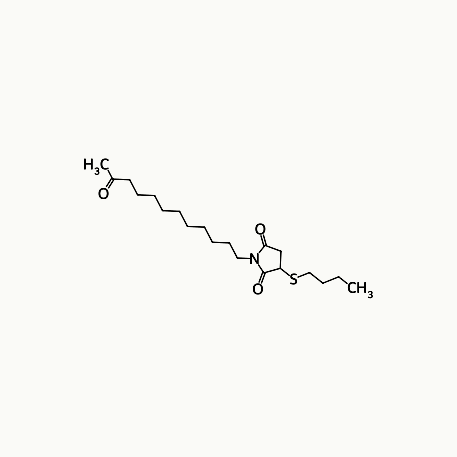 CCCCSC1CC(=O)N(CCCCCCCCCCC(C)=O)C1=O